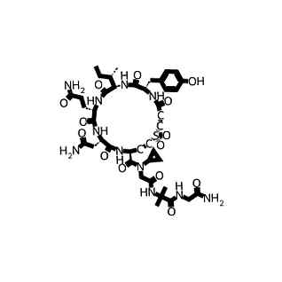 CC[C@H](C)[C@@H]1NC(=O)[C@H](Cc2ccc(O)cc2)NC(=O)CCS(=O)(=O)CC[C@@H](C(=O)N(CC(=O)NC(C)(C)C(=O)NCC(N)=O)C2CC2)NC(=O)[C@H](CC(N)=O)NC(=O)[C@H](CCC(N)=O)NC1=O